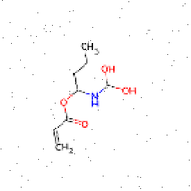 C=CC(=O)OC(CCC)NC(O)O